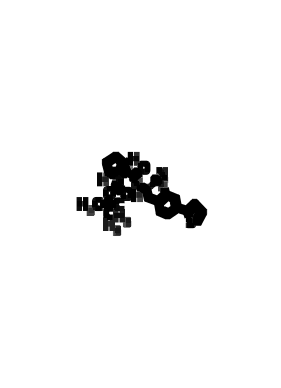 CC(C)(C)OC(=O)N1[C@@H]2CC[C@@H](C2)[C@H]1C(=O)N[C@H](C#N)Cc1ccc(-c2cccs2)cc1F